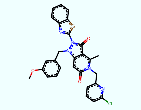 COc1cccc(Cn2c3cc(=O)n(Cc4cccc(Cl)n4)c(C)c3c(=O)n2-c2nc3ccccc3s2)c1